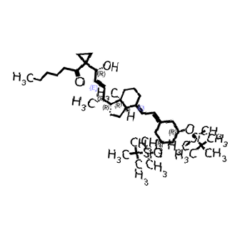 CCCCCC(=O)C1([C@H](O)/C=C/[C@@H](C)[C@H]2CC[C@H]3/C(=C/C=C4C[C@@H](O[Si](C)(C)C(C)(C)C)C[C@H](O[Si](C)(C)C(C)(C)C)C4)CCC[C@]23C)CC1